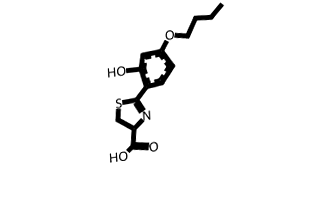 CCCCOc1ccc(C2=NC(C(=O)O)CS2)c(O)c1